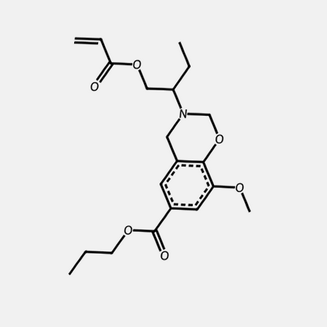 C=CC(=O)OCC(CC)N1COc2c(cc(C(=O)OCCC)cc2OC)C1